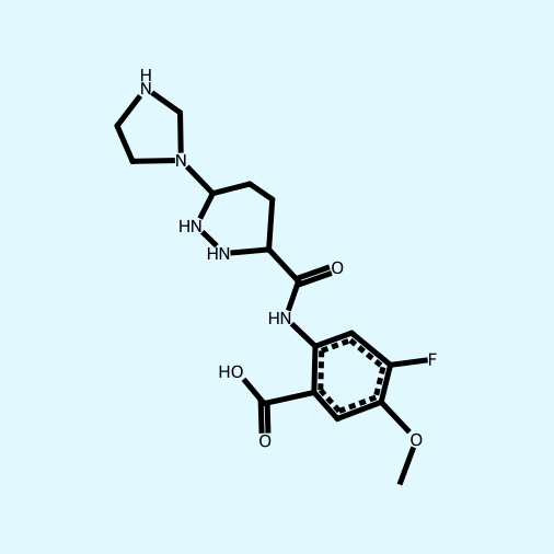 COc1cc(C(=O)O)c(NC(=O)C2CCC(N3CCNC3)NN2)cc1F